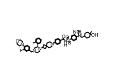 Cc1ccccc1[C@@H]1CN(Cc2ccc(N3CCOC[C@H]3C)c(F)c2)CCN1C1CC2(CCN(c3ccc(C(=O)NS(=O)(=O)c4ccc(NCC5CCC(C)(O)CC5)c([N+](=O)[O-])c4)cc3)CC2)C1